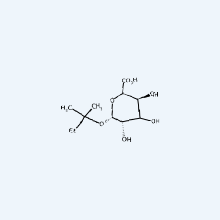 CCC(C)(C)O[C@@H]1OC(C(=O)O)[C@@H](O)C(O)[C@@H]1O